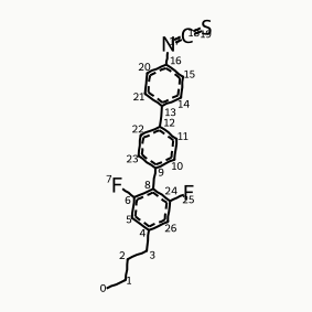 CCCCc1cc(F)c(-c2ccc(-c3ccc(N=C=S)cc3)cc2)c(F)c1